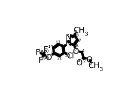 COC(=O)COc1cc(C)nn1-c1ccc(OC(F)(F)F)cc1Cl